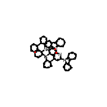 c1ccc(-c2ccccc2N2c3ccccc3B(c3ccccc3-c3cc(-n4c5ccccc5c5ccccc54)nc(-n4c5ccccc5c5ccccc54)c3)c3ccccc32)cc1